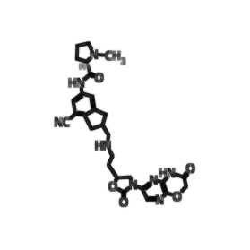 CN1CCC[C@@H]1C(=O)Nc1cc(C#N)c2c(c1)CC(CNCCC1CN(c3cnc4c(n3)NC(=O)CO4)C(=O)O1)C2